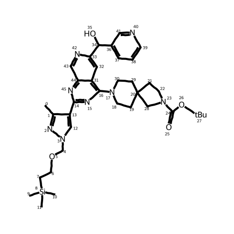 Cc1nn(COCC[Si](C)(C)C)cc1-c1nc(N2CCC3(CCN(C(=O)OC(C)(C)C)C3)CC2)c2cc(C(O)c3cccnc3)ncc2n1